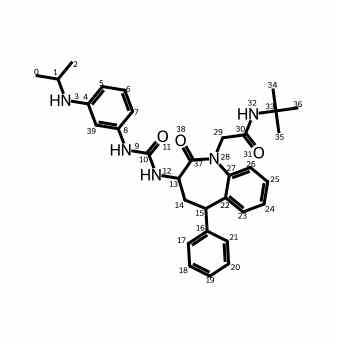 CC(C)Nc1cccc(NC(=O)NC2CC(c3ccccc3)c3ccccc3N(CC(=O)NC(C)(C)C)C2=O)c1